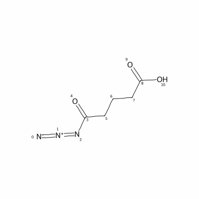 [N-]=[N+]=NC(=O)CCCC(=O)O